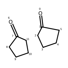 O=C1CCCC1.O=C1CCCC1